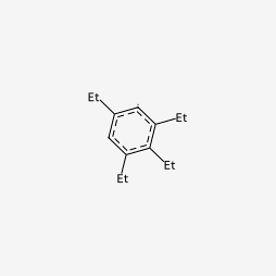 CCc1[c]c(CC)c(CC)c(CC)c1